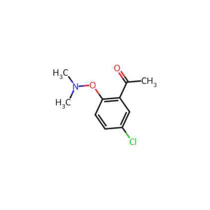 CC(=O)c1cc(Cl)ccc1ON(C)C